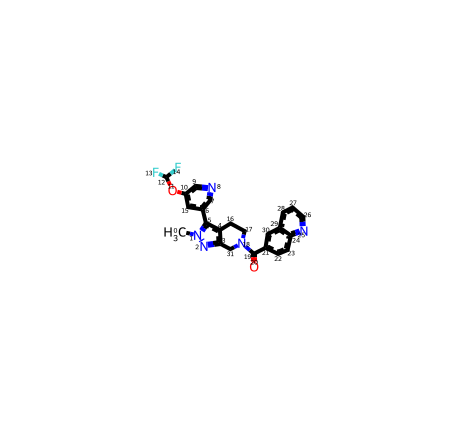 Cn1nc2c(c1-c1cncc(OC(F)F)c1)CCN(C(=O)c1ccc3ncccc3c1)C2